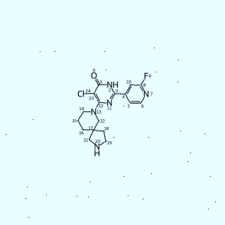 O=c1[nH]c(-c2ccnc(F)c2)nc(N2CCCC3(CCNC3)C2)c1Cl